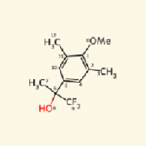 COc1c(C)cc(C(C)(O)C(F)(F)F)cc1C